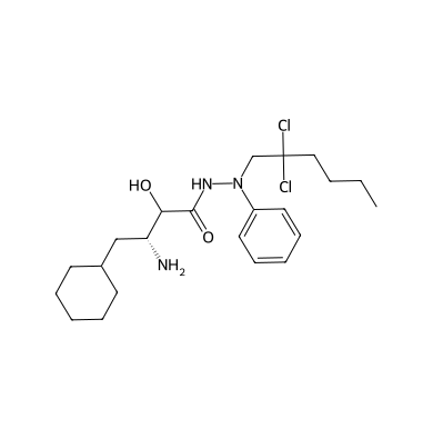 CCCCC(Cl)(Cl)CN(NC(=O)C(O)[C@H](N)CC1CCCCC1)c1ccccc1